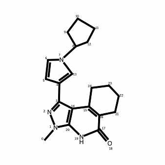 Cn1nc(-c2ccn(C3CCCC3)c2)c2c3c(c(=O)[nH]c21)CCCC3